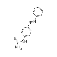 NC(=S)Nc1ccc(N=Nc2ccccc2)cc1